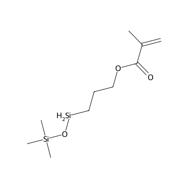 C=C(C)C(=O)OCCC[SiH2]O[Si](C)(C)C